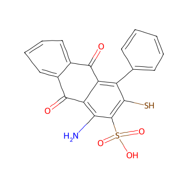 Nc1c2c(c(-c3ccccc3)c(S)c1S(=O)(=O)O)C(=O)c1ccccc1C2=O